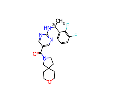 C[C@H](Nc1ncc(C(=O)N2CCC3(CCOCC3)C2)cn1)c1cccc(F)c1F